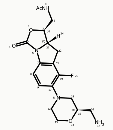 CC(=O)NC[C@@H]1OC(=O)N2c3ccc(N4CCO[C@H](CN)C4)c(F)c3C[C@@H]12